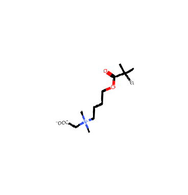 CCC(C)(C)C(=O)OCCCC[N+](C)(C)CC(=O)[O-]